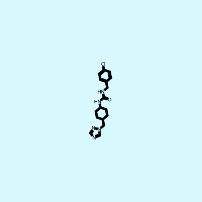 O=C(NCc1ccc(Cl)cc1)NC1CCC(Cn2cncn2)CC1